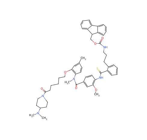 COc1cc(C(=O)N(C)c2ccc(C)cc2OCCCCCC(=O)N2CCC(N(C)C)CC2)ccc1NC(=S)c1ccccc1CCCNC(=O)OCC1c2ccccc2-c2ccccc21